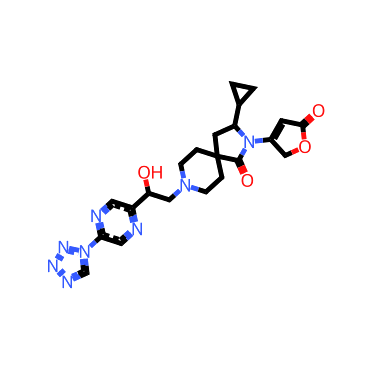 O=C1C=C(N2C(=O)C3(CCN(CC(O)c4cnc(-n5cnnn5)cn4)CC3)CC2C2CC2)CO1